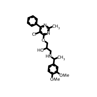 COc1ccc(C(C)NCC(O)COc2nc(C)nc(-c3ccccc3)c2Cl)cc1OC